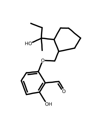 CCC(C)(O)C1CCCCC1COc1cccc(O)c1C=O